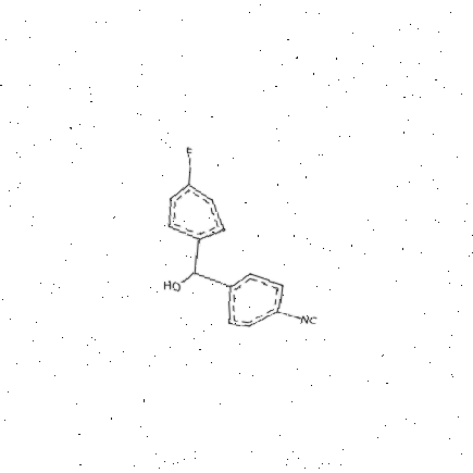 [C-]#[N+]c1ccc(C(O)c2ccc(F)cc2)cc1